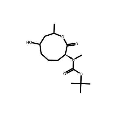 CC1CC(O)CCC[C@H](N(C)C(=O)OC(C)(C)C)C(=O)O1